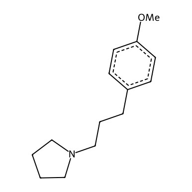 COc1ccc(CCCN2CCCC2)cc1